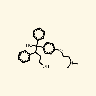 CN(C)CCOc1ccc(C(O)(c2ccccc2)C(CCO)c2ccccc2)cc1